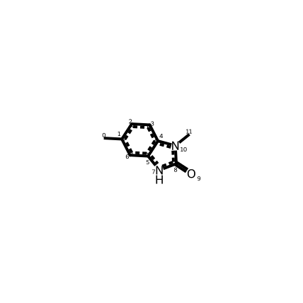 Cc1ccc2c(c1)[nH]c(=O)n2C